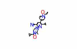 C=CC(=O)N1CC=C(c2cc(C#N)c(N3CCN(C(=O)C4CC4)C(C)C3)nc2C2CC2)CC1